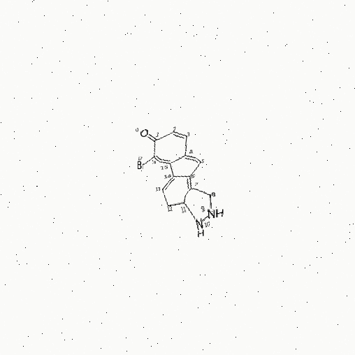 O=C1C=CC2=CC3=C4CNNC4CC=C3C2=C1Br